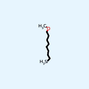 COCCCCCCCC[SiH3]